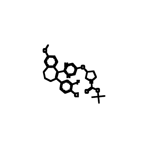 COc1ccc2c(c1)CCCC(c1ccc(Cl)c(F)c1)=C2c1ncc(OC2CCN(C(=O)OC(C)(C)C)C2)cn1